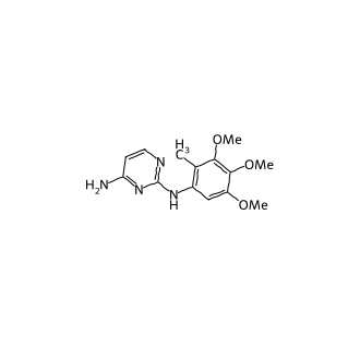 COc1cc(Nc2nccc(N)n2)c(C)c(OC)c1OC